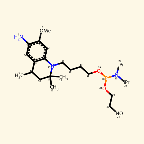 COc1cc2c(cc1N)C(C)CC(C)(C)N2CCCCOP(OCCN=O)N(C(C)C)C(C)C